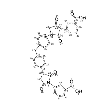 O=C(O)c1cccc(N2C(=O)CN(c3ccc(Cc4ccc(N5CC(=O)N(c6cccc(C(=O)O)c6)C5=O)cc4)cc3)C2=O)c1